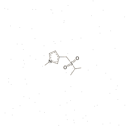 CC(C)S(=O)(=O)Cc1ccn(C)c1